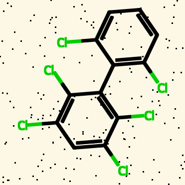 Clc1cc(Cl)c(Cl)c(-c2c(Cl)cccc2Cl)c1Cl